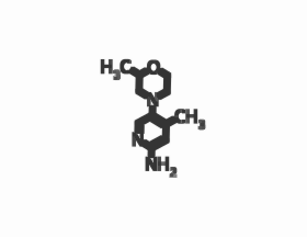 Cc1cc(N)ncc1N1CCOC(C)C1